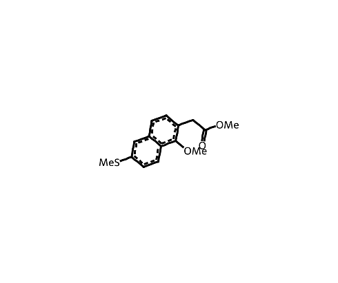 COC(=O)Cc1ccc2cc(SC)ccc2c1OC